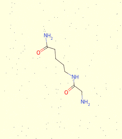 NCC(=O)NCCCCC(N)=O